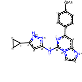 COc1ccc(-c2cc3nccn3c(Nc3cc(C4CC4)[nH]n3)n2)cc1